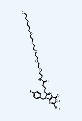 Nc1nc2c(nc(SCCC(=O)NCCOCCOCCOCCOCCOCCCCCCCl)n2Cc2ccc(F)cc2)c(=O)[nH]1